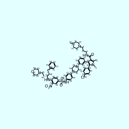 Cc1c(C(=O)NCCCN2CCN(C)CC2)c(-c2cccc(N3CCN(c4ccc(NS(=O)(=O)c5ccc(N[C@H](CCN6CCOCC6)CSc6ccccc6)c([N+](=O)[O-])c5)cc4)CC3)c2)c(-c2ccc(Cl)cc2)n1C